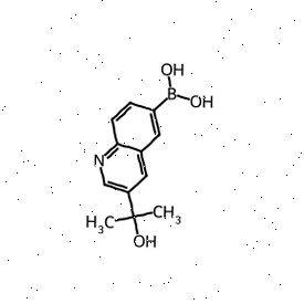 CC(C)(O)c1cnc2ccc(B(O)O)cc2c1